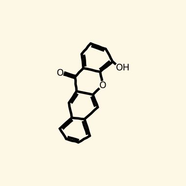 O=c1c2cc3ccccc3cc2oc2c(O)cccc12